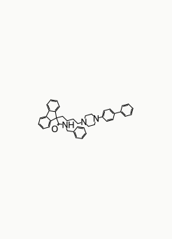 O=C(NCc1ccccc1)C1(CCCCN2CCN(c3ccc(-c4ccccc4)cc3)CC2)c2ccccc2-c2ccccc21